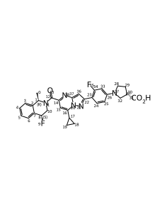 C[C@@H]1c2ccccc2[C@H](F)CN1C(=O)c1cc(C2CC2)n2nc(-c3ccc(N4CC[C@H](C(=O)O)C4)cc3F)cc2n1